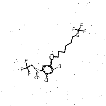 [O-][S+](CC(F)(F)F)c1cc(OCCCCCCSC(F)(F)F)c(Cl)cc1Cl